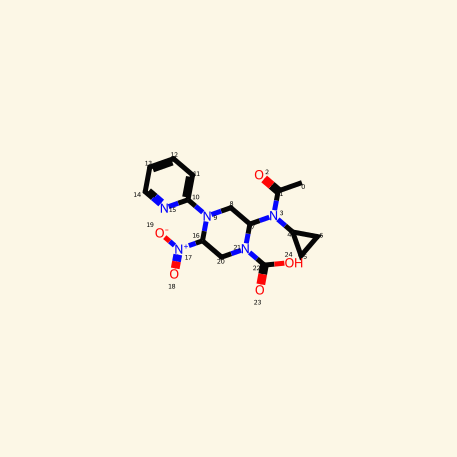 CC(=O)N(C1CC1)C1CN(c2ccccn2)C([N+](=O)[O-])CN1C(=O)O